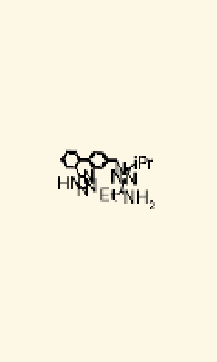 CCC(N)c1nc(C(C)C)n(Cc2ccc(-c3ccccc3-c3nnn[nH]3)cc2)n1